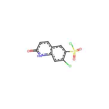 O=c1ccc2cc(S(=O)(=O)Cl)c(Cl)cc2[nH]1